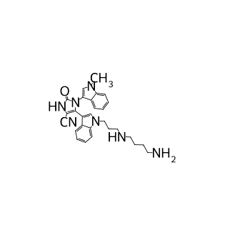 Cn1cc(-n2c(-c3cn(CCCNCCCCN)c4ccccc34)c(C#N)[nH]c2=O)c2ccccc21